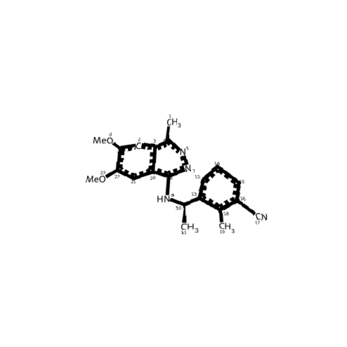 COc1cc2c(C)nnc(N[C@H](C)c3cccc(C#N)c3C)c2cc1OC